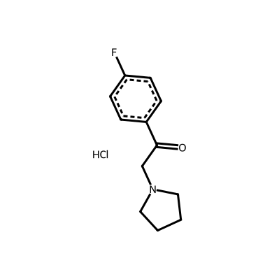 Cl.O=C(CN1CCCC1)c1ccc(F)cc1